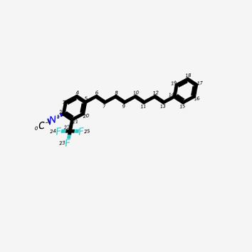 [C-]#[N+]c1ccc(CCCCCCCCc2ccccc2)cc1C(F)(F)F